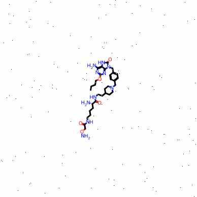 CCCCOc1nc(N)c2[nH]c(=O)n(Cc3ccc(CN4CCC(CCNC(=O)[C@@H](N)CCCCNC(=O)CON)CC4)cc3)c2n1